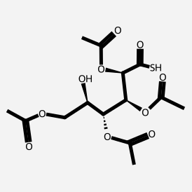 CC(=O)OC[C@@H](O)[C@@H](OC(C)=O)[C@H](OC(C)=O)[C@@H](OC(C)=O)C(=O)S